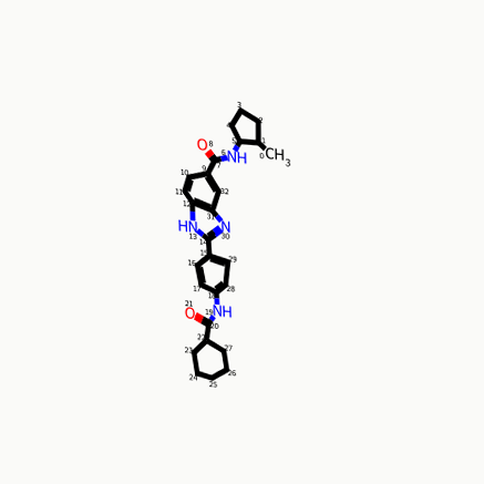 CC1CCCC1NC(=O)c1ccc2[nH]c(-c3ccc(NC(=O)C4CCCCC4)cc3)nc2c1